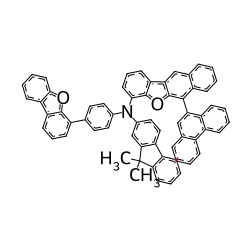 CC1(C)c2ccccc2-c2ccc(N(c3ccc(-c4cccc5c4oc4ccccc45)cc3)c3cccc4c3oc3c(-c5cc6ccccc6c6ccccc56)c5ccccc5cc34)cc21